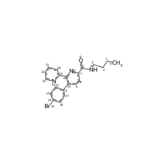 CCCCNC(=O)c1ccc(-c2ccc(Br)cc2)c(-c2ccccn2)n1